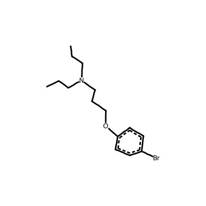 CCCN(CCC)CCCOc1ccc(Br)cc1